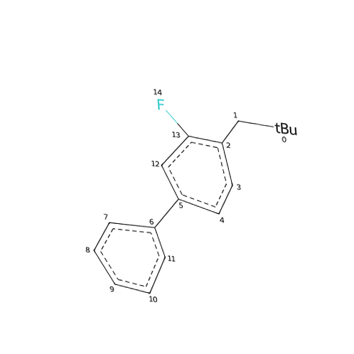 CC(C)(C)Cc1ccc(-c2ccccc2)cc1F